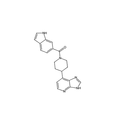 O=C(c1ccc2cc[nH]c2c1)N1CCC(c2ccnc3[nH]cnc23)CC1